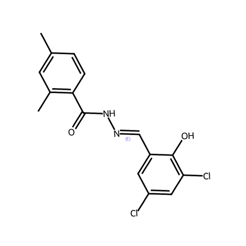 Cc1ccc(C(=O)N/N=C/c2cc(Cl)cc(Cl)c2O)c(C)c1